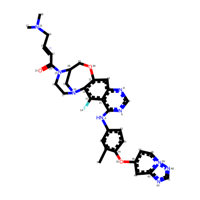 Cc1cc(Nc2ncnc3cc4c(c(F)c23)N2CCN(C(=O)/C=C/CN(C)C)C(CO4)C2)ccc1Oc1ccn2ncnc2c1